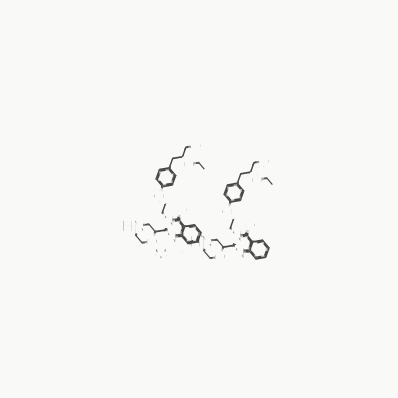 CCOC(Cc1ccc(OCCn2c(C3CNCCO3)nc3ccccc3c2=O)cc1)C(=O)[O-].CCOC(Cc1ccc(OCCn2c(C3CNCCO3)nc3ccccc3c2=O)cc1)C(=O)[O-].[Mg+2]